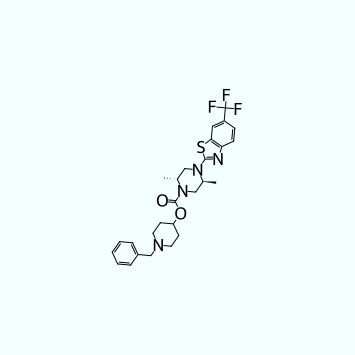 C[C@@H]1CN(c2nc3ccc(C(F)(F)F)cc3s2)[C@@H](C)CN1C(=O)OC1CCN(Cc2ccccc2)CC1